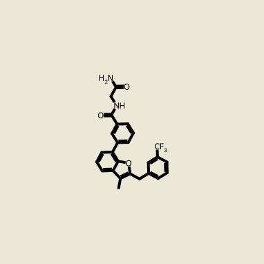 Cc1c(Cc2cccc(C(F)(F)F)c2)oc2c(-c3cccc(C(=O)NCC(N)=O)c3)cccc12